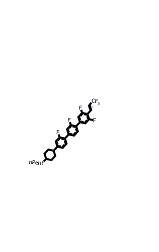 CCCCCC1CCC(c2ccc(-c3ccc(-c4cc(F)c(/C=C/C(F)(F)F)c(F)c4)c(F)c3)c(F)c2)CC1